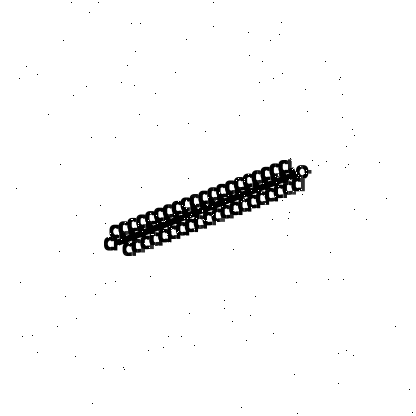 [O]C(Cl)(Cl)C(Cl)(Cl)C(Cl)(Cl)C(Cl)(Cl)C(Cl)(Cl)C(Cl)(Cl)C(Cl)(Cl)C(Cl)(Cl)C(Cl)(Cl)C(Cl)(Cl)C(Cl)(Cl)C(Cl)(Cl)C(Cl)(Cl)C(Cl)(Cl)C(Cl)(Cl)C(Cl)(Cl)C(Cl)(Cl)C(Cl)(Cl)C(Cl)(Cl)C(Cl)(Cl)Cl